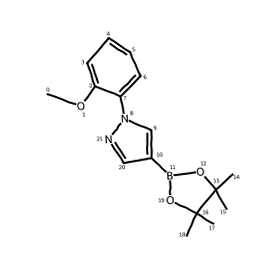 COc1ccccc1-n1cc(B2OC(C)(C)C(C)(C)O2)cn1